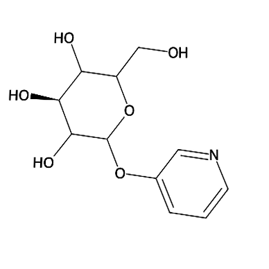 OCC1OC(Oc2cccnc2)C(O)[C@@H](O)C1O